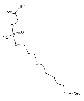 CCCCCCCCCCCCCCCCOCCCOP(=O)(O)OCC(=S)C(C)C